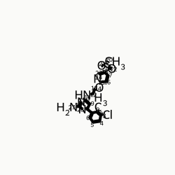 Cc1c(Cl)cccc1-c1cc(NCCOc2ccc(S(C)(=O)=O)cn2)nc(N)n1